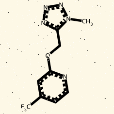 Cn1nnnc1COc1cc(C(F)(F)F)ccn1